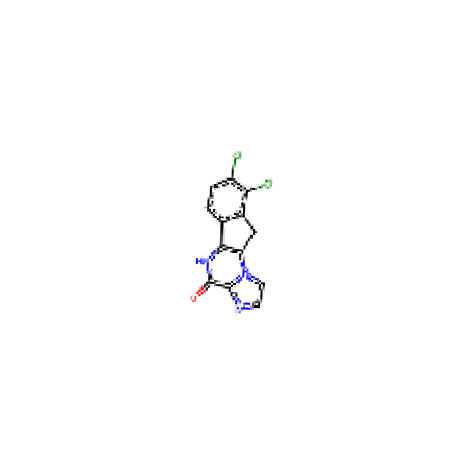 O=c1[nH]c2c(n3ccnc13)Cc1c-2ccc(Cl)c1Cl